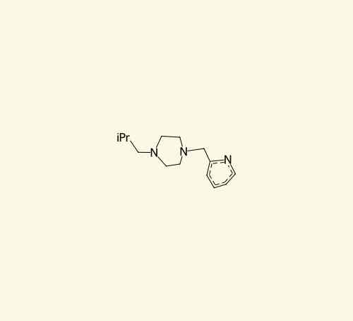 CC(C)CN1CCN(Cc2ccccn2)CC1